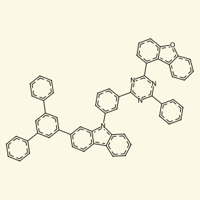 c1ccc(-c2cc(-c3ccccc3)cc(-c3ccc4c5ccccc5n(-c5cccc(-c6nc(-c7ccccc7)nc(-c7cccc8oc9ccccc9c78)n6)c5)c4c3)c2)cc1